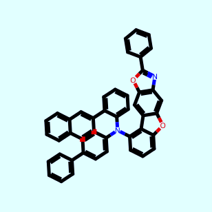 c1ccc(-c2ccc(N(c3ccccc3-c3ccc4ccccc4c3)c3cccc4oc5cc6nc(-c7ccccc7)oc6cc5c34)cc2)cc1